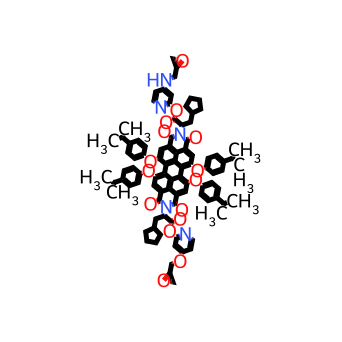 CC(C)c1ccc(Oc2cc3c4c(cc(Oc5ccc(C(C)C)cc5)c5c6c(Oc7ccc(C(C)C)cc7)cc7c8c(cc(Oc9ccc(C(C)C)cc9)c(c2c45)c86)C(=O)N(C(CC2CCCC2)C(=O)Oc2cc(OCC4CO4)ccn2)C7=O)C(=O)N(C(CC2CCCC2)C(=O)Oc2cc(NCC4CO4)ccn2)C3=O)cc1